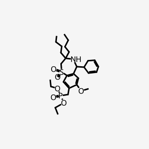 CCCCC1(CCCC)CS(=O)(=O)c2cc(CP(=O)(OCC)OCC)c(OC)cc2C(C2C=CC=CC2)N1